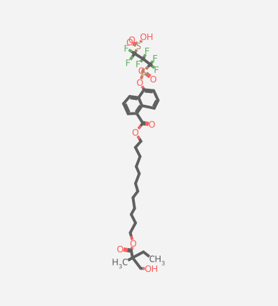 CCC(C)(CO)C(=O)OCCCCCCCCCCCCOC(=O)c1cccc2c(OS(=O)(=O)C(F)(F)C(F)(F)C(F)(F)S(=O)(=O)O)cccc12